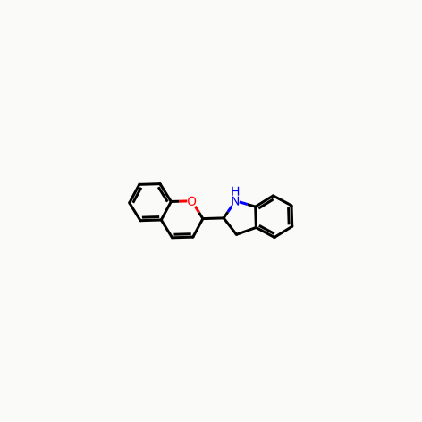 C1=CC(C2Cc3ccccc3N2)Oc2ccccc21